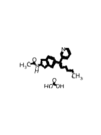 CCCCC=C(c1cccnc1)c1ccc2c(c1)CC(NC(C)=O)C2.O=C(O)O